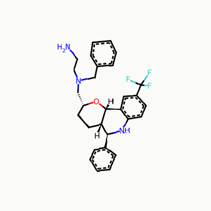 NCCN(Cc1ccccc1)C[C@H]1CC[C@@H]2[C@H](O1)c1cc(C(F)(F)F)ccc1N[C@H]2c1ccccc1